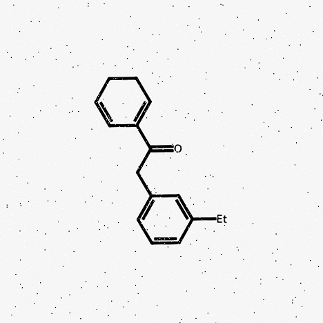 CCc1cccc(CC(=O)C2=CCCC=C2)c1